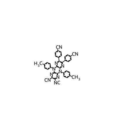 [C-]#[N+]c1nc2c(nc1[N+]#[C-])N(c1ccc(C)cc1)c1nc(-c3ccc(C#N)cc3)c(-c3ccc(C#N)cc3)nc1N2c1ccc(C)cc1